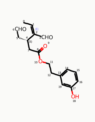 C/C=C(/C=O)[C@@H](CC=O)CC(=O)OCCc1cccc(O)c1